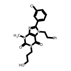 CC(C)CCn1c(-c2cccc(Cl)c2)nc2c1c(=O)n(CCCO)c(=O)n2C